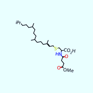 COC(=O)CCC(=O)NC(CSC/C=C(\C)CCCC(C)CCCC(C)CCCC(C)C)C(=O)O